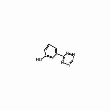 Oc1cccc(-c2nncnn2)c1